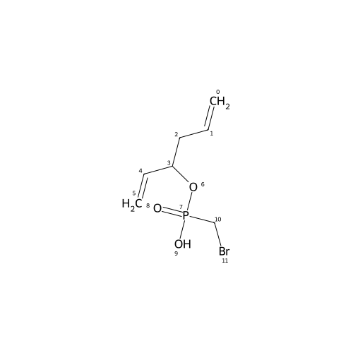 C=CCC(C=C)OP(=O)(O)CBr